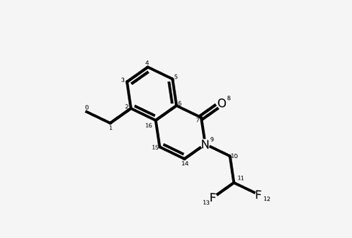 CCc1cccc2c(=O)n(CC(F)F)ccc12